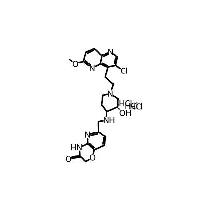 COc1ccc2ncc(Cl)c(CCN3CC[C@H](NCc4ccc5c(n4)NC(=O)CO5)[C@@H](O)C3)c2n1.Cl.Cl.Cl